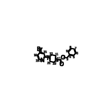 O=C(OCc1ccccc1)N1CCN(c2cc(Br)ccn2)CC1